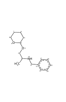 CC(COC1CCCCO1)NCc1ccccc1